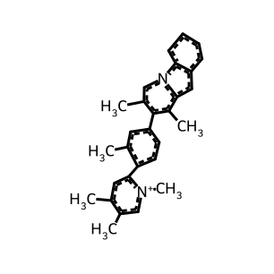 Cc1cc(-c2ccc(-c3c(C)cn4c(cc5ccccc54)c3C)cc2C)[n+](C)cc1C